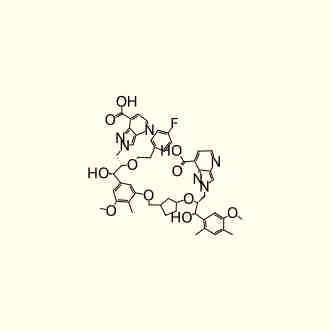 COc1cc([C@@H](O)[C@H](Cn2cc3nccc(C(=O)O)c3n2)OC2CCC(COc3cc([C@@H](O)[C@H](Cn4cc5nccc(C(=O)O)c5n4)OCCc4ccc(F)cc4)cc(OC)c3C)C2)c(C)cc1C